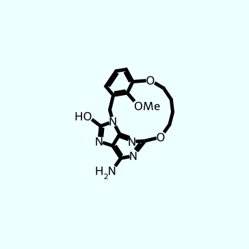 COc1c2cccc1OCCCCOc1nc(N)c3nc(O)n(c3n1)C2